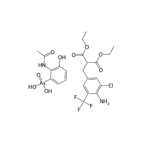 CC(=O)Nc1c(O)cccc1[As](=O)(O)O.CCOC(=O)C(Cc1cc(Cl)c(N)c(C(F)(F)F)c1)C(=O)OCC